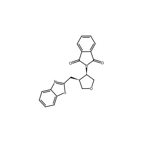 O=C1c2ccccc2C(=O)N1[C@H]1COC[C@H]1Cc1nc2ccccc2s1